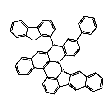 c1ccc(-c2ccc3c(c2)N(c2cccc4c2oc2ccccc24)c2cc4ccccc4c4c2B3n2c3cc5ccccc5cc3c3cccc-4c32)cc1